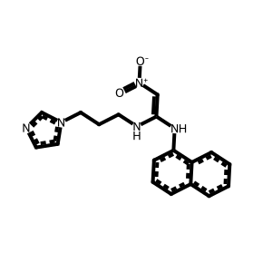 O=[N+]([O-])C=C(NCCCn1ccnc1)Nc1cccc2ccccc12